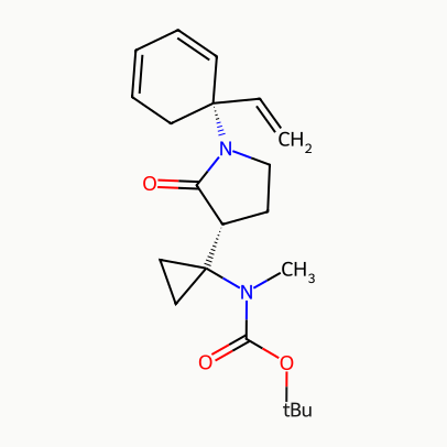 C=C[C@]1(N2CC[C@H](C3(N(C)C(=O)OC(C)(C)C)CC3)C2=O)C=CC=CC1